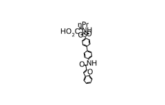 CCC[C@@H](NS(=O)(=O)c1ccc(-c2ccc(NC(=O)c3cc4ccccc4o3)cc2)cc1)C(=O)O